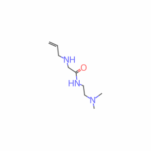 C=CCNCC(=O)NCCN(C)C